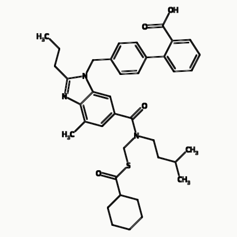 CCCc1nc2c(C)cc(C(=O)N(CCC(C)C)CSC(=O)C3CCCCC3)cc2n1Cc1ccc(-c2ccccc2C(=O)O)cc1